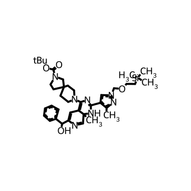 Cc1nn(COCC[Si](C)(C)C)cc1C1=NC(N2CCC3(CCN(C(=O)OC(C)(C)C)C3)CC2)=C2C=C(C(O)c3ccccc3)N=CC2(C)N1